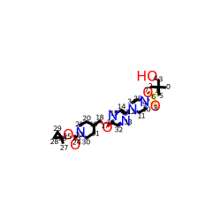 CC(C)(CO)CS(=O)(=O)N1CCN(c2cnc(OCC3CCN(C(=O)OC4(C)CC4)CC3)cn2)CC1